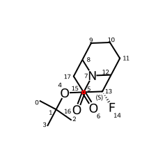 CC(C)(C)OC(=O)N1C2CCCC1[C@H](F)C(=O)C2